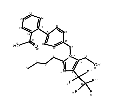 CCCCc1nc(C(F)(F)C(F)(F)F)c(CO)n1Cc1ccc(-c2ccccc2C(=O)O)cc1